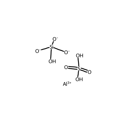 O=S(=O)(O)O.[Al+3].[O-][Si]([O-])([O-])O